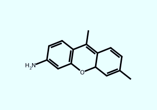 CC1=CC2Oc3cc(N)ccc3C(C)=C2C=C1